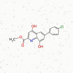 COC(=O)c1cc(O)c2cc(-c3ccc(Cl)cc3)cc(O)c2n1